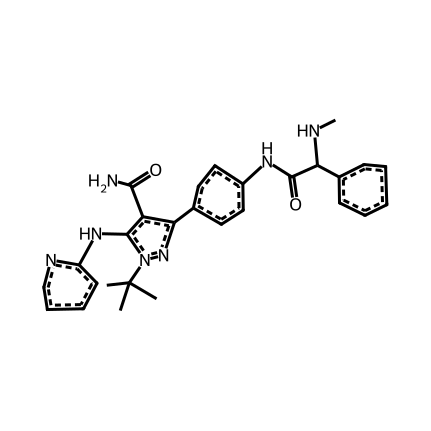 CNC(C(=O)Nc1ccc(-c2nn(C(C)(C)C)c(Nc3ccccn3)c2C(N)=O)cc1)c1ccccc1